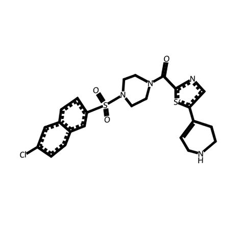 O=C(c1ncc(C2=CCNCC2)s1)N1CCN(S(=O)(=O)c2ccc3cc(Cl)ccc3c2)CC1